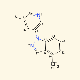 Cc1cncc(-n2ncc3c(C(F)(F)F)cccc32)c1